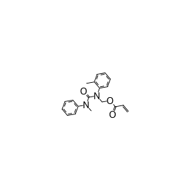 C=CC(=O)OCN(C(=O)N(C)c1ccccc1)c1ccccc1C